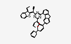 C#C/C(c1nc(C(/C=C\C)=C/C)nc(-c2cccc3c2-c2cc(C4=CCC(C5C=CC=CC5)C=C4)ccc2C3)n1)=c1/sc2ccccc2/c1=C/C